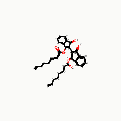 C=CCCCCCC(=O)OC1=C(C2=C(OC(=O)CCCCCC=C)c3ccccc3C2=O)C(=O)c2ccccc21